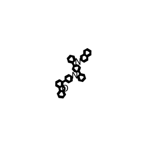 c1ccc2cc(-n3c4ccccc4c4cc5c(cc43)c3ccccc3n5-c3ccc(-c4cccc5c4oc4ccccc45)cc3)ccc2c1